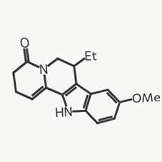 CCC1CN2C(=O)CCC=C2c2[nH]c3ccc(OC)cc3c21